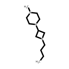 CCCCN1CC(N2CCN(C)CC2)C1